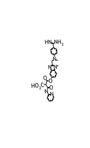 CN(Cc1nc2cc(OC(=O)C(C(=O)O)C(=O)[N]c3ccccn3)ccc2n1C)c1ccc(C(=N)N)cc1